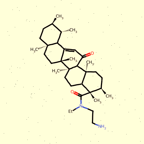 CCN(CCN)C(=O)[C@]1(C)C2CC[C@]3(C)C(C(=O)C=C4C5[C@@H](C)[C@H](C)CC[C@]5(C)CC[C@]43C)[C@@]2(C)CC[C@H]1C